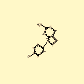 Nc1ncc2ccn(-c3ccc(Br)cc3)c2n1